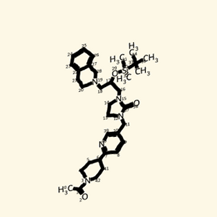 CC(=O)N1CCC(c2ccc(CN3CCN(CC(CN4CCc5ccccc5C4)O[Si](C)(C)C(C)(C)C)C3=O)cn2)CC1